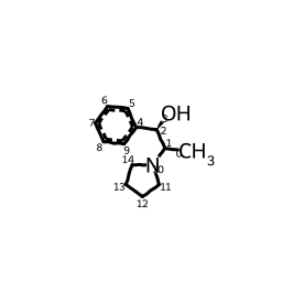 CC([C@H](O)c1ccccc1)N1CCCC1